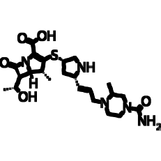 CC1CN(C(N)=O)CCN1C/C=C/[C@@H]1C[C@H](SC2=C(C(=O)O)N3C(=O)[C@H]([C@@H](C)O)[C@H]3[C@H]2C)CN1